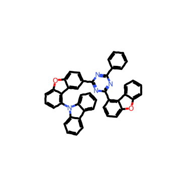 c1ccc(-c2nc(-c3ccc4oc5cccc(-n6c7ccccc7c7ccccc76)c5c4c3)nc(-c3cccc4oc5ccccc5c34)n2)cc1